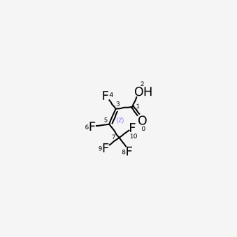 O=C(O)/C(F)=C(/F)C(F)(F)F